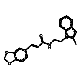 Cc1cc2ccccc2n1CCNC(=O)C=Cc1ccc2c(c1)OCO2